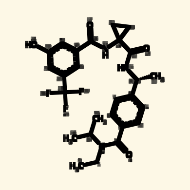 CCN(C(=O)c1ccc([C@@H](C)NC(=O)C2(NC(=O)c3cc(O)cc(C(F)(F)F)c3)CC2)cc1)C(C)C